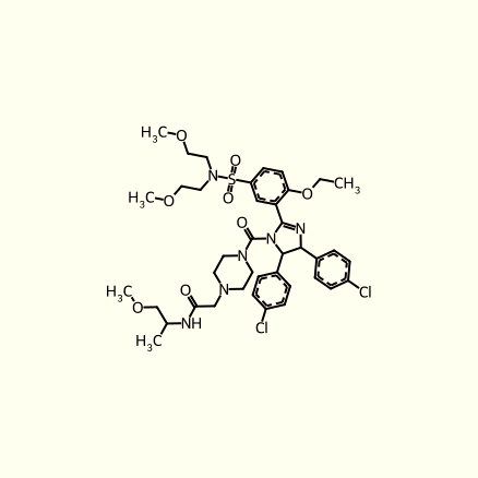 CCOc1ccc(S(=O)(=O)N(CCOC)CCOC)cc1C1=NC(c2ccc(Cl)cc2)C(c2ccc(Cl)cc2)N1C(=O)N1CCN(CC(=O)NC(C)COC)CC1